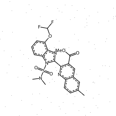 COC(=O)c1cc2cc(C)ccc2nc1-c1nc2c(OC(F)F)cccc2n1S(=O)(=O)N(C)C